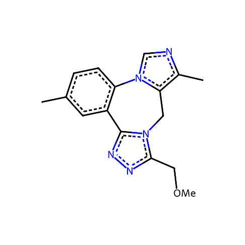 COCc1nnc2n1Cc1c(C)ncn1-c1ccc(C)cc1-2